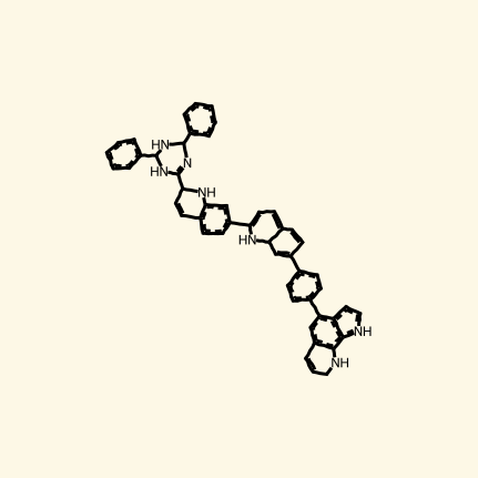 C1=Cc2cc(-c3ccc(C4=CC5NC(c6ccc7c(c6)NC(C6=NC(c8ccccc8)NC(c8ccccc8)N6)C=C7)=CC=C5C=C4)cc3)c3cc[nH]c3c2NC1